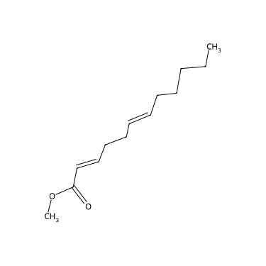 CCCCCC=CCCC=CC(=O)OC